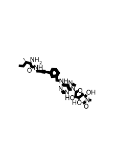 CC[C@H](C)[C@H](N)C(=O)NCC#Cc1cccc(CNc2ncnc3c2ncn3[C@@H]2O[C@H](C(O)N(C)C=O)[C@@H](O)[C@H]2O)c1